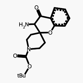 CC(C)(C)OC(=O)N1CCC2(CC1)Oc1ccccc1C(=O)C2N